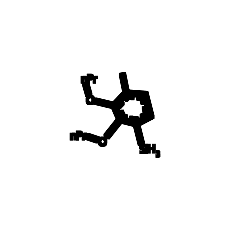 CCCOc1c(C)ccc([SiH3])c1OCCC